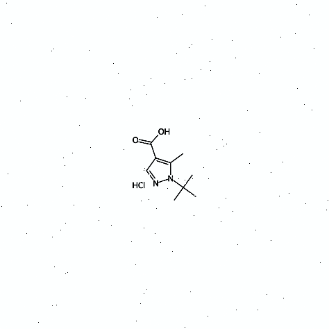 Cc1c(C(=O)O)cnn1C(C)(C)C.Cl